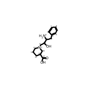 NC(Cc1ccccc1)C(O)CN1CCCC(C(=O)O)C1